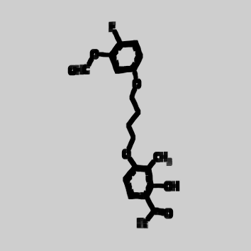 CCC(=O)c1ccc(OCCCCOc2ccc(F)c(OC=O)c2)c(C)c1O